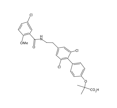 COc1ccc(Cl)cc1C(=O)NCCc1cc(Cl)c(-c2ccc(OC(C)(C)C(=O)O)cc2)c(Cl)c1